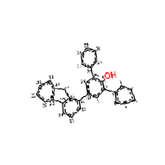 Oc1c(-c2ccccc2)cc(-c2cccc3c2Cc2ccccc2-3)cc1-c1ccccc1